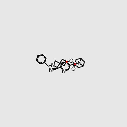 N#Cc1cnc(N2CC3CC(C2)N3C(=O)OC2CC3(C2)CN(Cc2ccccc2)C3)cn1